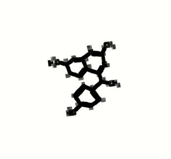 Cc1nc(C(C)c2ccc(O)cc2)c2c(n1)=CC(C)CC=2